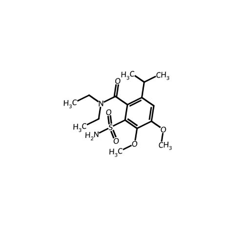 CCN(CC)C(=O)c1c(C(C)C)cc(OC)c(OC)c1S(N)(=O)=O